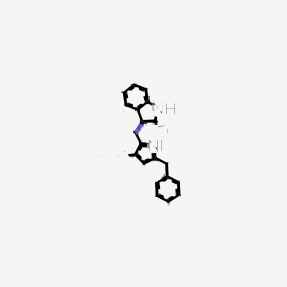 Cc1cc(Cc2ccccc2)[nH]c1/C=C1\C(=O)Nc2ccccc21